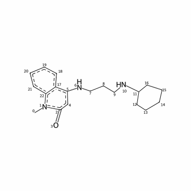 Cn1c(=O)cc(NCCCNC2CCCCC2)c2ccccc21